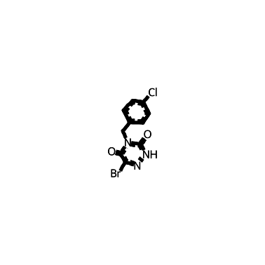 O=c1[nH]nc(Br)c(=O)n1Cc1ccc(Cl)cc1